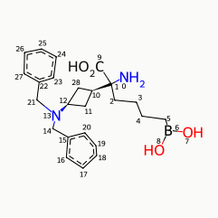 NC(CCCCB(O)O)(C(=O)O)[C@H]1C[C@@H](N(Cc2ccccc2)Cc2ccccc2)C1